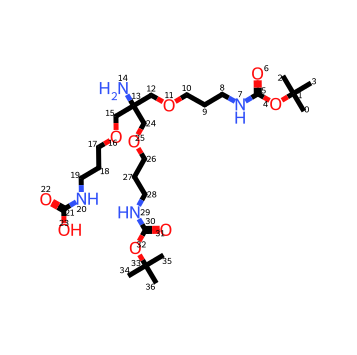 CC(C)(C)OC(=O)NCCCOCC(N)(COCCCNC(=O)O)COCCCNC(=O)OC(C)(C)C